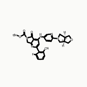 CC(C)(C)OC(=O)N1Cc2nc(-c3c(F)cccc3C#N)cc(Nc3ccc(N4C[C@H]5COC[C@H]5C4)nc3)c2C1=O